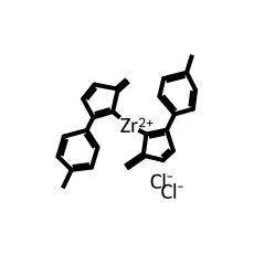 C=C1C=CC(c2ccc(C)cc2)=[C]1[Zr+2][C]1=C(c2ccc(C)cc2)C=CC1=C.[Cl-].[Cl-]